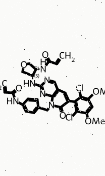 C=CC(=O)Nc1ccc(Cn2c(=O)c(-c3c(Cl)c(OC)cc(OC)c3Cl)cc3cnc(N[C@@H]4COC[C@@H]4NC(=O)C=C)nc32)cc1